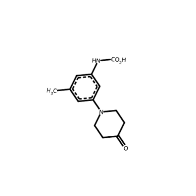 Cc1cc(NC(=O)O)cc(N2CCC(=O)CC2)c1